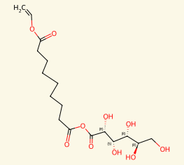 C=COC(=O)CCCCCCCC(=O)OC(=O)[C@H](O)[C@@H](O)[C@H](O)[C@H](O)CO